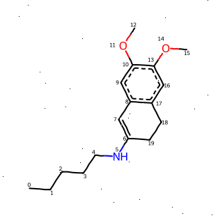 CCCCCNC1=Cc2cc(OC)c(OC)cc2CC1